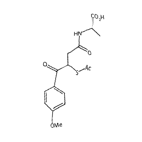 COc1ccc(C(=O)C(CC(=O)N[C@@H](C)C(=O)O)SC(C)=O)cc1